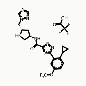 O=C(N[C@H]1CN[C@H](Cn2cncn2)C1)c1nnc(-c2cc(OC(F)(F)F)ccc2C2CC2)o1.O=C(O)C(F)(F)F